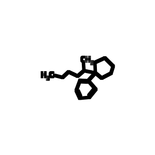 CCCCC(C)C1(c2ccccc2)CCCCC1